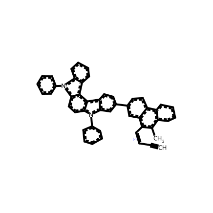 C#C/C=C\c1c(C)c2ccccc2c2ccc(-c3ccc4c5c6c7ccccc7n(-c7ccccc7)c6ccc5n(-c5ccccc5)c4c3)cc12